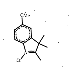 CC[N+]1=C(C)C(C)(C)c2cc(OC)ccc21